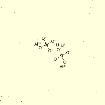 [Al+3].[Al+3].[Li+].[Li+].[O-][Si]([O-])([O-])[O-].[O-][Si]([O-])([O-])[O-]